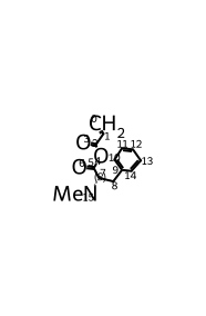 C=CC(=O)OC(=O)[C@H](Cc1ccccc1)NC